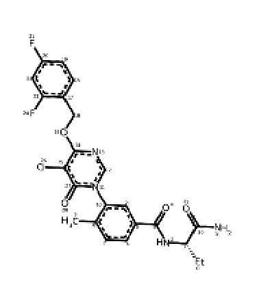 CC[C@H](NC(=O)c1ccc(C)c(-n2cnc(OCc3ccc(F)cc3F)c(Cl)c2=O)c1)C(N)=O